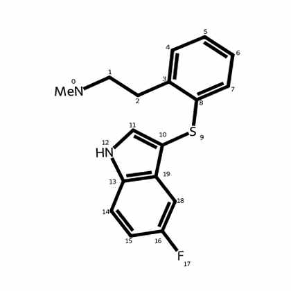 CNCCc1ccccc1Sc1c[nH]c2ccc(F)cc12